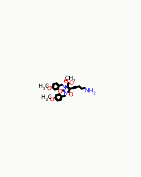 COC(=O)c1c(C#CCCCN)c(=O)n(Cc2ccc(OC)cc2)c(=O)n1Cc1ccc(OC)cc1